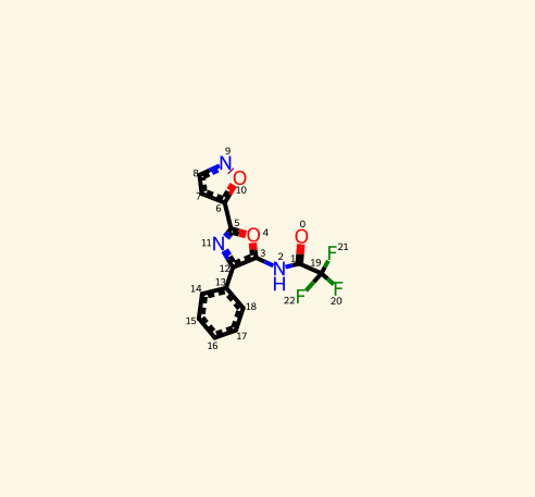 O=C(Nc1oc(-c2ccno2)nc1-c1ccccc1)C(F)(F)F